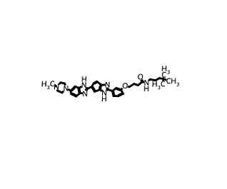 CN1CCN(c2ccc3nc(-c4ccc5nc(-c6cccc(OCCCC(=O)NCCCC(C)(C)C)c6)[nH]c5c4)[nH]c3c2)CC1